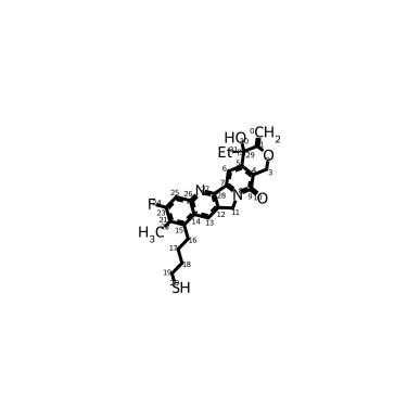 C=C1OCc2c(cc3n(c2=O)Cc2cc4c(CCCCS)c(C)c(F)cc4nc2-3)[C@@]1(O)CC